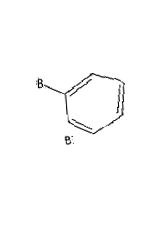 [B].[B]c1ccccc1